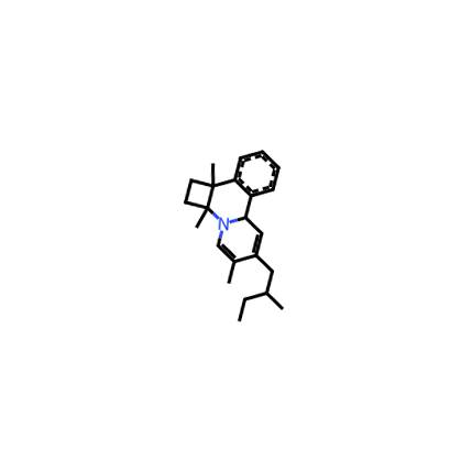 CCC(C)CC1=CC2c3ccccc3C3(C)CCC3(C)N2C=C1C